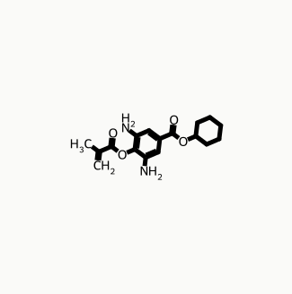 C=C(C)C(=O)Oc1c(N)cc(C(=O)OC2CCCCC2)cc1N